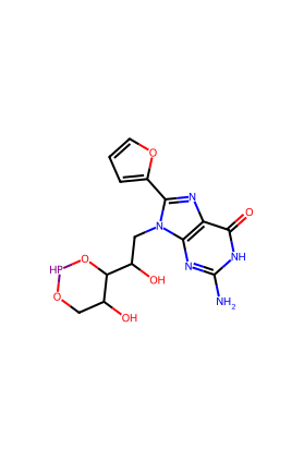 Nc1nc2c(nc(-c3ccco3)n2CC(O)C2OPOCC2O)c(=O)[nH]1